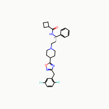 O=C(N[C@@H](CCN1CCC(c2nc(Cc3cc(F)ccc3F)no2)CC1)c1ccccc1)C1CCC1